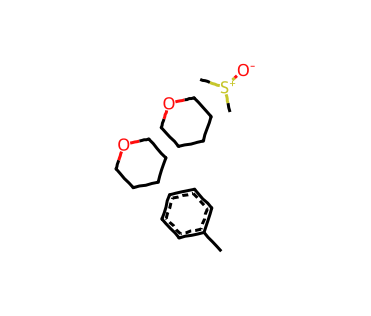 C1CCOCC1.C1CCOCC1.C[S+](C)[O-].Cc1ccccc1